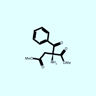 COC(=O)C[C@@](N)(C(=O)OC)C(=O)c1ccccc1